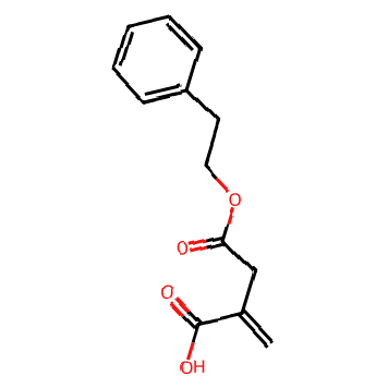 C=C(CC(=O)OCCc1ccccc1)C(=O)O